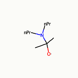 CCCN(CCC)C(C)(C)[O]